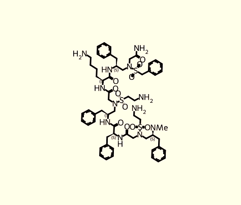 CN[C@@H](Cc1ccccc1)CN(CC(=O)N[C@@H](Cc1ccccc1)C(=O)N[C@@H](Cc1ccccc1)CN(CC(=O)N[C@@H](CCCCN)C(=O)N[C@@H](Cc1ccccc1)CN(CC(N)=O)S(=O)(=O)Cc1ccccc1)S(=O)(=O)CCN)S(=O)(=O)CCN